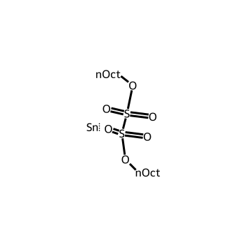 CCCCCCCCOS(=O)(=O)S(=O)(=O)OCCCCCCCC.[Sn]